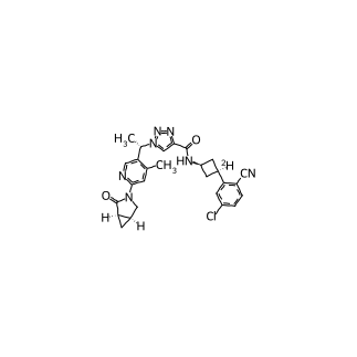 [2H][C@]1(c2cc(Cl)ccc2C#N)C[C@@H](NC(=O)c2cn([C@@H](C)c3cnc(N4C[C@H]5C[C@H]5C4=O)cc3C)nn2)C1